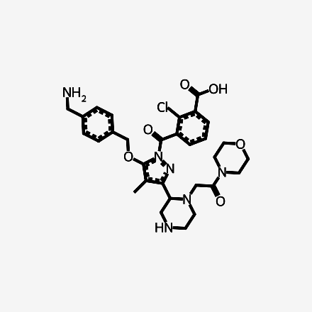 Cc1c(C2CNCCN2CC(=O)N2CCOCC2)nn(C(=O)c2cccc(C(=O)O)c2Cl)c1OCc1ccc(CN)cc1